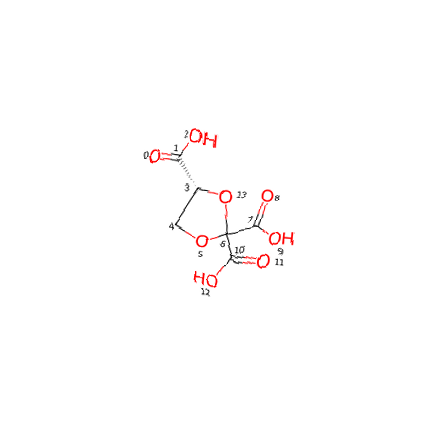 O=C(O)[C@H]1COC(C(=O)O)(C(=O)O)O1